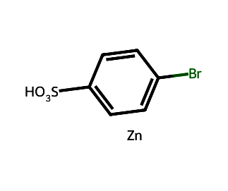 O=S(=O)(O)c1ccc(Br)cc1.[Zn]